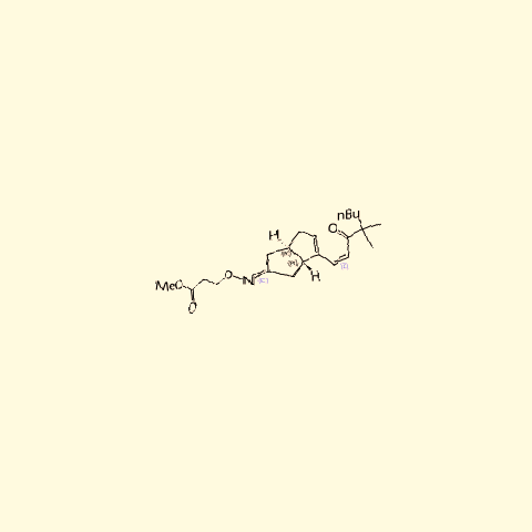 CCCCC(C)(C)C(=O)/C=C\C1=CC[C@@H]2C/C(=N\OCCC(=O)OC)C[C@@H]12